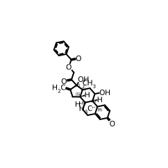 C=C1C[C@H]2[C@@H]3CCC4=CC(=O)C=C[C@]4(C)[C@H]3C(O)C[C@]2(C)[C@@]1(O)C(=O)COC(=O)c1ccccc1